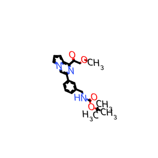 COCC(=O)c1nc(-c2cccc(CNC(=O)OC(C)(C)C)c2)cn2cccc12